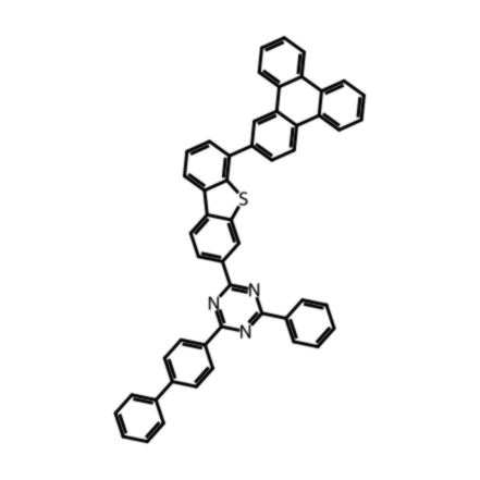 c1ccc(-c2ccc(-c3nc(-c4ccccc4)nc(-c4ccc5c(c4)sc4c(-c6ccc7c8ccccc8c8ccccc8c7c6)cccc45)n3)cc2)cc1